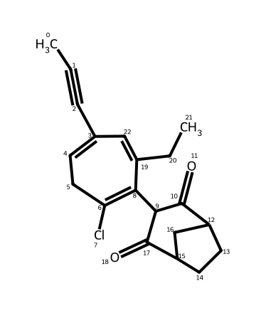 CC#CC1=CCC(Cl)=C(C2C(=O)C3CCC(C3)C2=O)C(CC)=C1